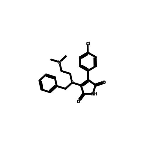 CN(C)CCN(Cc1ccccc1)C1=C(c2ccc(Cl)cc2)C(=O)NC1=O